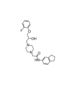 O=C(CN1CCN(CC(O)COc2ccccc2F)CC1)Nc1ccc2c(c1)CCC2